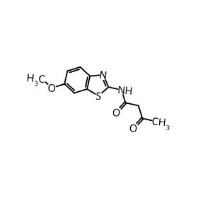 COc1ccc2nc(NC(=O)CC(C)=O)sc2c1